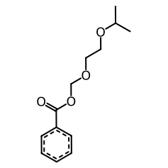 CC(C)OCCOCOC(=O)c1ccccc1